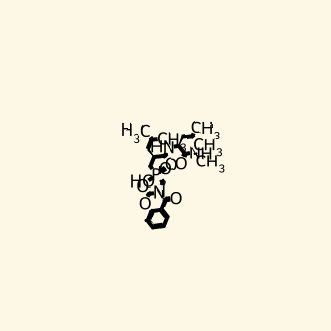 CNC(=O)[C@H](CC(C)C)NC(=O)[C@H](CC(C)C)CP(=O)(O)Cn1c(=O)oc2ccccc2c1=O